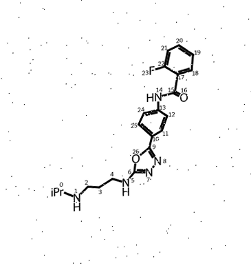 CC(C)NCCCNc1nnc(-c2ccc(NC(=O)c3ccccc3F)cc2)o1